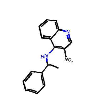 CC(Nc1c([N+](=O)[O-])cnc2ccccc12)c1ccccc1